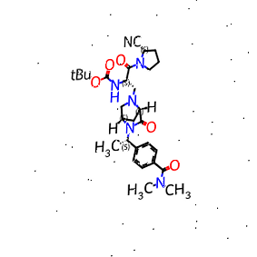 C[C@@H](c1ccc(C(=O)N(C)C)cc1)N1C(=O)[C@@H]2C[C@H]1CN2C[C@H](NC(=O)OC(C)(C)C)C(=O)N1CCC[C@H]1C#N